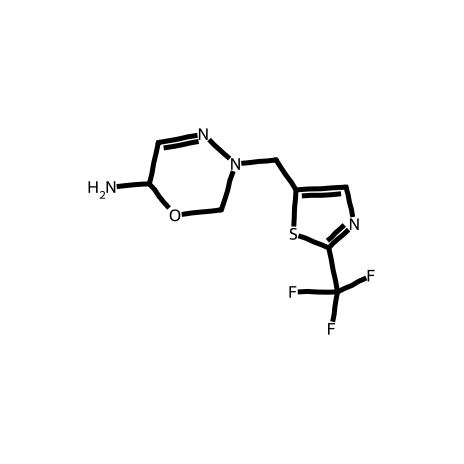 NC1C=NN(Cc2cnc(C(F)(F)F)s2)CO1